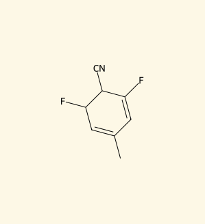 CC1=CC(F)C(C#N)C(F)=C1